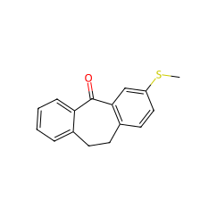 CSc1ccc2c(c1)C(=O)c1ccccc1CC2